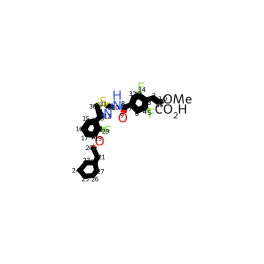 CO/C(=C/c1c(F)cc(C(=O)Nc2nc(-c3cccc(OCCC4CCCCC4)c3F)cs2)cc1F)C(=O)O